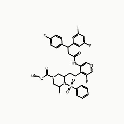 CC1CN(C(=O)OC(C)(C)C)CC(CCc2c(F)cncc2NC(=O)CC(c2ccc(F)cc2)c2cc(F)cc(F)c2)N1S(=O)(=O)c1ccccc1